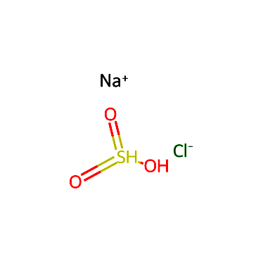 O=[SH](=O)O.[Cl-].[Na+]